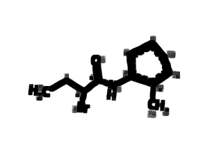 CCC(Br)C(=O)Nc1ccccc1C